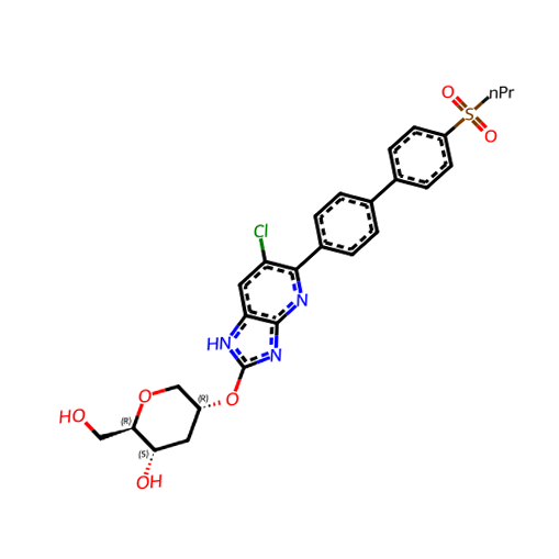 CCCS(=O)(=O)c1ccc(-c2ccc(-c3nc4nc(O[C@H]5CO[C@H](CO)[C@@H](O)C5)[nH]c4cc3Cl)cc2)cc1